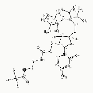 CC(C)[Si]1(C(C)C)OC[C@H]2O[C@@H](n3ccc(N)nc3=O)[C@H](OCC(=O)NCCNC(=O)C(F)(F)F)[C@@H]2O[Si](C(C)C)(C(C)C)O1